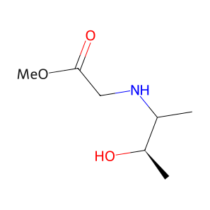 COC(=O)CNC(C)[C@@H](C)O